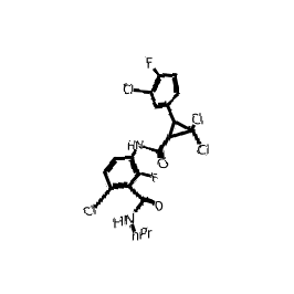 CCCNC(=O)c1c(Cl)ccc(NC(=O)C2C(c3ccc(F)c(Cl)c3)C2(Cl)Cl)c1F